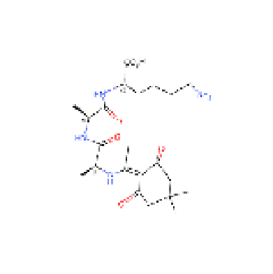 CC(N[C@@H](C)C(=O)N[C@@H](C)C(=O)N[C@@H](CCCCN)C(=O)O)=C1C(=O)CC(C)(C)CC1=O